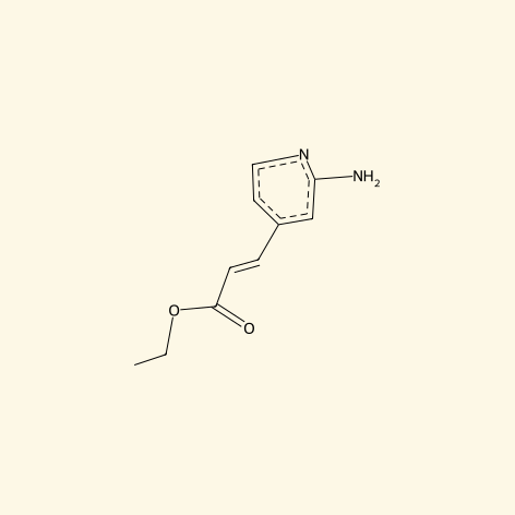 CCOC(=O)/C=C/c1ccnc(N)c1